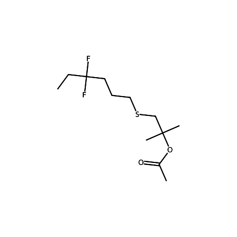 CCC(F)(F)CCCSCC(C)(C)OC(C)=O